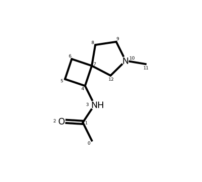 CC(=O)NC1CCC12CCN(C)C2